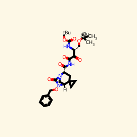 CC(C)(C)OC(=O)N[C@H](CO[Si](C)(C)C(C)(C)C)C(=O)C(=O)NC(=O)[C@@H]1CC2(CC2)[C@H]2CN1C(=O)N2OCc1ccccc1